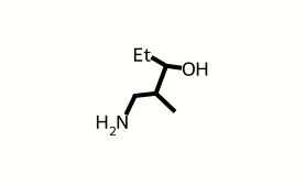 CCC(O)C(C)CN